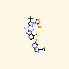 Cn1c(Nc2cc(C(C)(C)C)n([C@@H]3COC[C@@H]3O)n2)nc2ncc(Oc3cnc4cnc(C5CC5)n4c3)c(C(F)F)c21